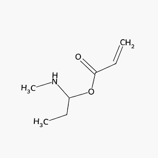 C=CC(=O)OC(CC)NC